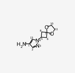 Nc1cnn(C2CC3(C2)OCCO3)c1